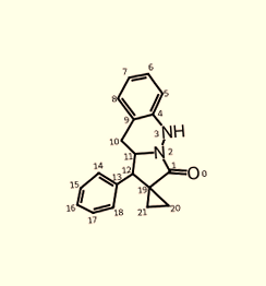 O=C1N2Nc3ccccc3CC2C(c2ccccc2)C12CC2